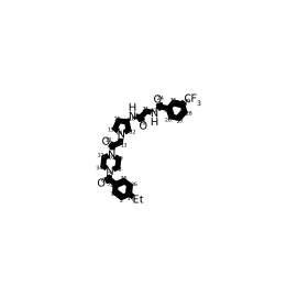 CCc1ccc(C(=O)N2CCN(C(=O)CN3CC[C@@H](NC(=O)CNC(=O)c4cccc(C(F)(F)F)c4)C3)CC2)cc1